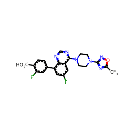 O=C(O)c1ccc(-c2cc(F)cc3c(N4CCN(c5noc(C(F)(F)F)n5)CC4)ncnc23)cc1F